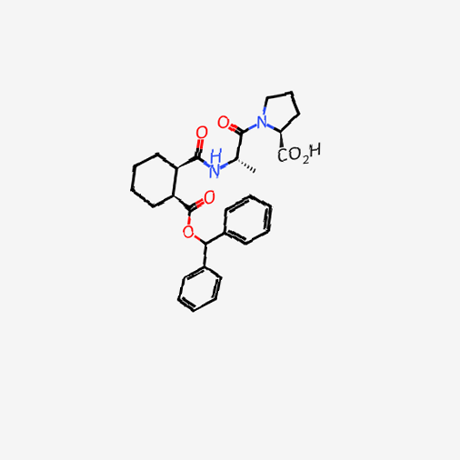 C[C@H](NC(=O)[C@@H]1CCCC[C@@H]1C(=O)OC(c1ccccc1)c1ccccc1)C(=O)N1CCC[C@H]1C(=O)O